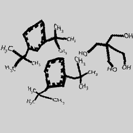 CC(C)(C)c1cccc(C(C)(C)C)c1.CC(C)(C)c1cccc(C(C)(C)C)c1.OCC(CO)(CO)CO